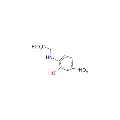 CCOC(=O)CNc1ccc([N+](=O)[O-])cc1O